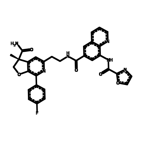 C[C@]1(C(N)=O)COc2c1cc(CCNC(=O)c1cc(NC(=O)c3ncco3)c3ncccc3c1)nc2-c1ccc(F)cc1